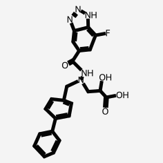 O=C(NN(Cc1ccc(-c2ccccc2)cc1)CC(O)C(=O)O)c1cc(F)c2[nH]nnc2c1